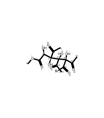 COC(=O)[C@@H](O)[C@](O)(C(C)=O)[C@@](O)(C(C)=O)[C@](O)(C(C)=O)C(=O)Br